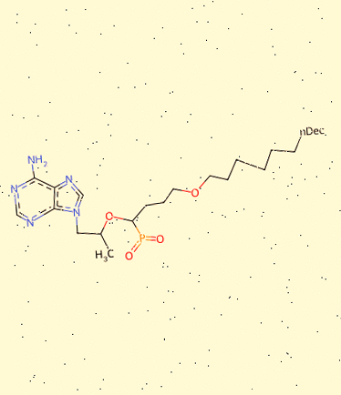 CCCCCCCCCCCCCCCCOCCCC(OC(C)Cn1cnc2c(N)ncnc21)P(=O)=O